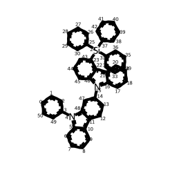 c1ccc(-n2c3ccccc3c3ccc(-n4c5ccccc5c5c([Si](c6ccccc6)(c6ccccc6)c6ccccc6)cccc54)cc32)cc1